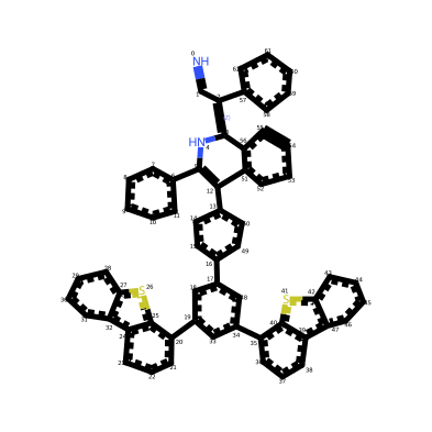 N=C/C(=C1\NC(c2ccccc2)=C(c2ccc(-c3cc(-c4cccc5c4sc4ccccc45)cc(-c4cccc5c4sc4ccccc45)c3)cc2)c2ccc#cc21)c1ccccc1